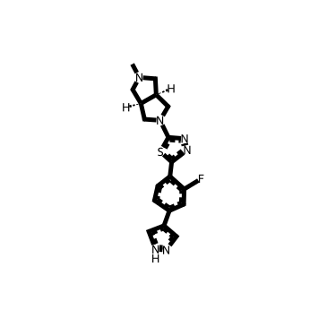 CN1C[C@@H]2CN(c3nnc(-c4ccc(-c5cn[nH]c5)cc4F)s3)C[C@@H]2C1